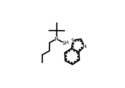 CCCCN(S)C(C)(C)C.c1ccc2scnc2c1